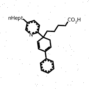 CCCCCCCc1ccc(C2(CCCCC(=O)O)C=CC(c3ccccc3)=CC2)nc1